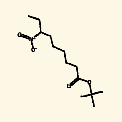 CCC(CCCCCC(=O)OC(C)(C)C)[N+](=O)[O-]